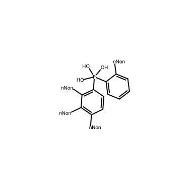 CCCCCCCCCc1ccccc1P(O)(O)(O)c1ccc(CCCCCCCCC)c(CCCCCCCCC)c1CCCCCCCCC